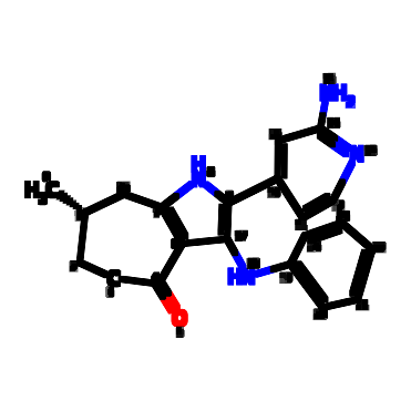 C[C@H]1CCC(=O)c2c([nH]c(-c3ccnc(N)c3)c2Nc2ccccc2)C1